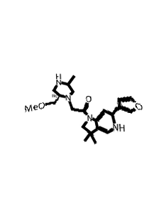 COC[C@H]1CNC(C)CN1CC(=O)N1CC(C)(C)C2=CNC(c3ccoc3)C=C21